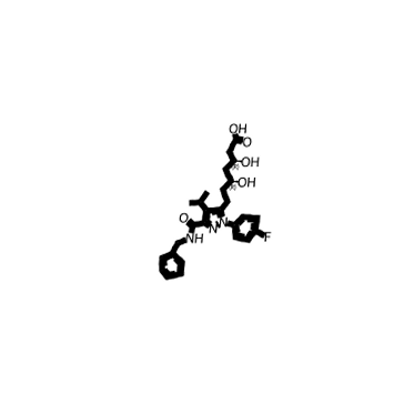 CC(C)c1c(C(=O)NCc2ccccc2)nn(-c2ccc(F)cc2)c1CC[C@@H](O)C[C@@H](O)CC(=O)O